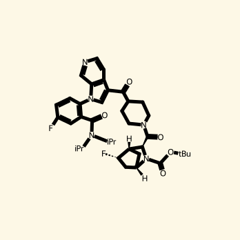 CC(C)N(C(=O)c1cc(F)ccc1-n1cc(C(=O)C2CCN(C(=O)[C@@H]3[C@@H]4C[C@@H](C[C@@H]4F)N3C(=O)OC(C)(C)C)CC2)c2ccncc21)C(C)C